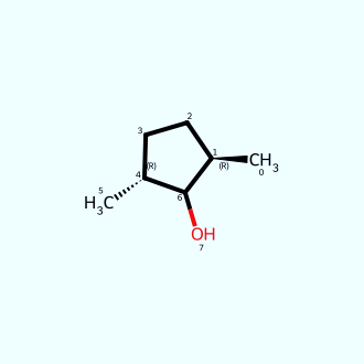 C[C@@H]1CC[C@@H](C)C1O